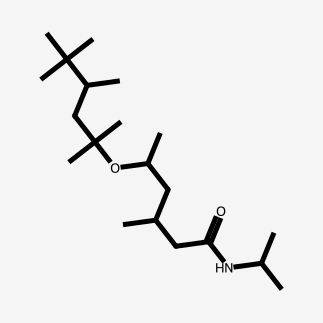 CC(CC(=O)NC(C)C)CC(C)OC(C)(C)CC(C)C(C)(C)C